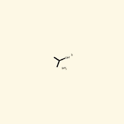 CC(C)O.[SrH2].[Ti]